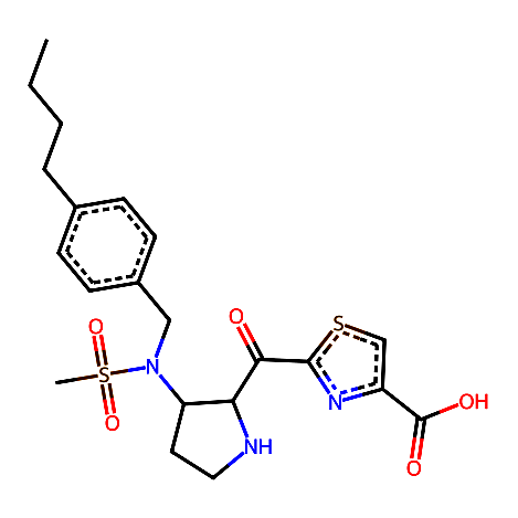 CCCCc1ccc(CN(C2CCNC2C(=O)c2nc(C(=O)O)cs2)S(C)(=O)=O)cc1